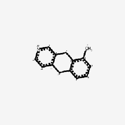 Cc1cccc2c1Cc1cnccc1C2